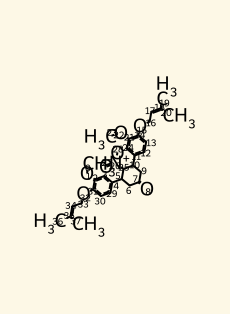 COc1cc(C2CC(=O)CC(c3ccc(OCC=C(C)C)c(OC)c3)C2[N+](=O)[O-])ccc1OCC=C(C)C